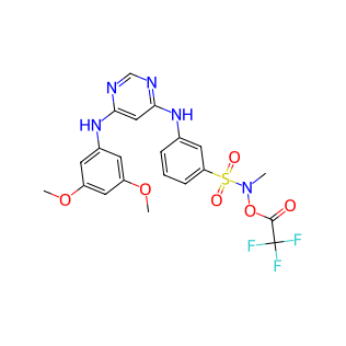 COc1cc(Nc2cc(Nc3cccc(S(=O)(=O)N(C)OC(=O)C(F)(F)F)c3)ncn2)cc(OC)c1